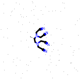 C[C@@H](CN(CC#N)CC#N)N(CC#N)CC#N